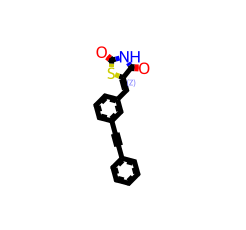 O=C1NC(=O)/C(=C/c2cccc(C#Cc3ccccc3)c2)S1